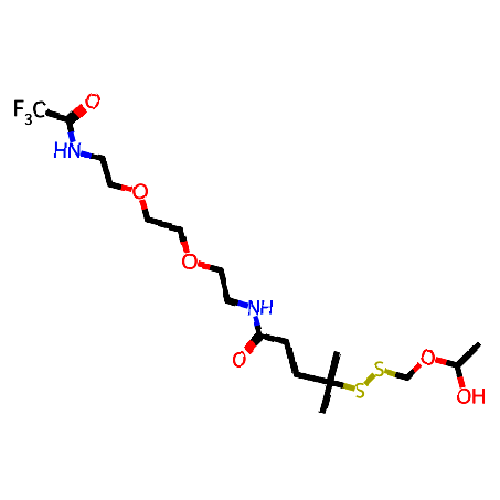 CC(O)OCSSC(C)(C)CCC(=O)NCCOCCOCCNC(=O)C(F)(F)F